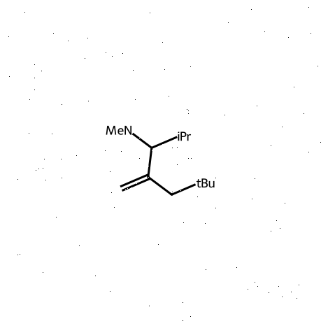 C=C(CC(C)(C)C)C(NC)C(C)C